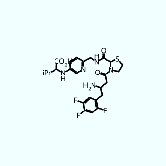 CC(C)C(Nc1ccc(CNC(=O)C2SCCN2C(=O)CC(N)Cc2cc(F)c(F)cc2F)nc1)C(=O)O